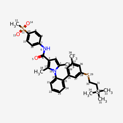 Cc1cc(C(=O)Nc2ccc(S(C)(=O)=O)cc2)c(C)n1-c1ccccc1-c1cc(SCC[Si](C)(C)C)cc(C(F)(F)F)c1